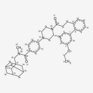 CCOc1cncc(-c2ccccc2CCC(=O)N2CCN(c3ccc(C(=O)N(C)CC45CC6CC(CC(C6)C4)C5)cc3)CC2)c1